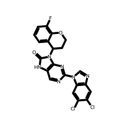 O=c1[nH]c2cnc(-n3cnc4cc(Cl)c(Cl)cc43)nc2n1C1CCOc2c(F)cccc21